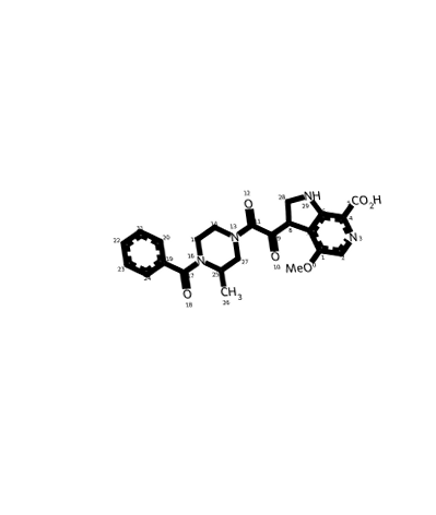 COc1cnc(C(=O)O)c2c1C(C(=O)C(=O)N1CCN(C(=O)c3ccccc3)C(C)C1)CN2